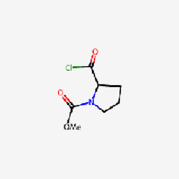 COC(=O)N1CCCC1C(=O)Cl